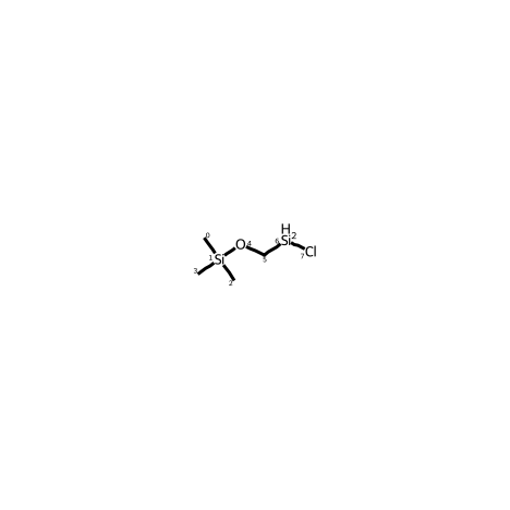 C[Si](C)(C)OC[SiH2]Cl